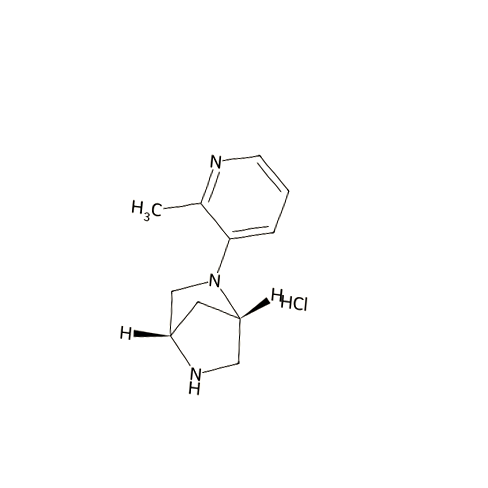 Cc1ncccc1N1C[C@@H]2C[C@H]1CN2.Cl